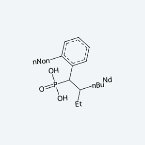 CCCCCCCCCc1ccccc1C(C(CC)CCCC)P(=O)(O)O.[Nd]